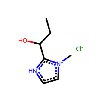 CCC(O)c1[nH]cc[n+]1C.[Cl-]